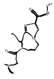 CC1c2nc(C(=O)NO)cn2CCN1C(=O)CN(C)C